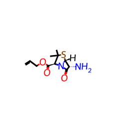 C=CCOC(=O)[C@@H]1N2C(=O)[C@@H](N)[C@H]2SC1(C)C